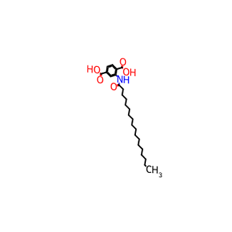 CCCCCCCCCCCCCCCCCC(=O)Nc1cc(C(=O)O)ccc1C(=O)O